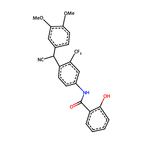 COc1ccc(C(C#N)c2ccc(NC(=O)c3ccccc3O)cc2C(F)(F)F)cc1OC